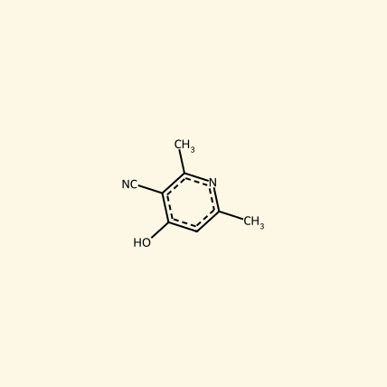 Cc1cc(O)c(C#N)c(C)n1